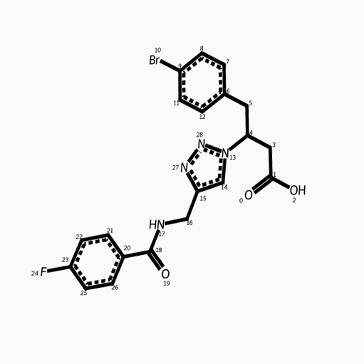 O=C(O)CC(Cc1ccc(Br)cc1)n1cc(CNC(=O)c2ccc(F)cc2)nn1